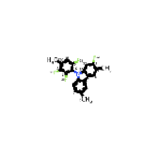 Cc1ccc2c(c1)c1cc(C)c(F)cc1n2-c1c(F)cc(C)c(F)c1F